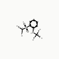 O=S(=O)(c1cc[c]cc1OC(F)(F)F)C(F)F